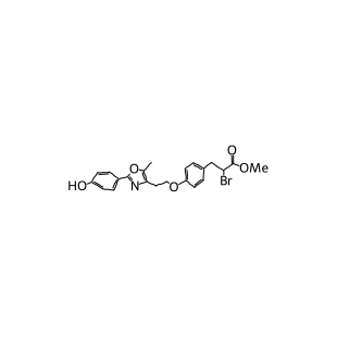 COC(=O)C(Br)Cc1ccc(OCCc2nc(-c3ccc(O)cc3)oc2C)cc1